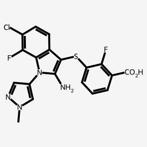 Cn1cc(-n2c(N)c(Sc3cccc(C(=O)O)c3F)c3ccc(Cl)c(F)c32)cn1